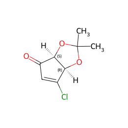 CC1(C)O[C@@H]2C(=O)C=C(Cl)[C@@H]2O1